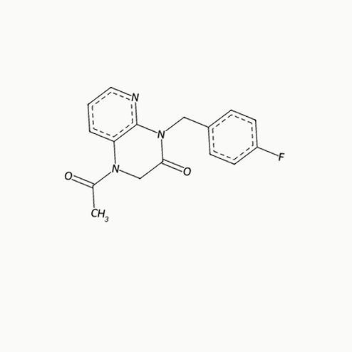 CC(=O)N1CC(=O)N(Cc2ccc(F)cc2)c2ncccc21